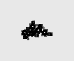 CC[C@@H](CN(Cc1ccccc1C(F)(F)F)C(=S)Nc1ccc(Cl)cc1Cl)NC(=O)Cc1cncn1Cc1ccc(C#N)cc1